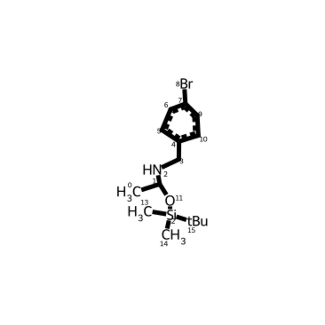 CC(NCc1ccc(Br)cc1)O[Si](C)(C)C(C)(C)C